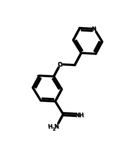 N=C(N)c1cc[c]c(OCc2ccncc2)c1